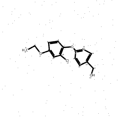 CCOc1ccc(Oc2ccc(CO)cn2)c(Cl)c1